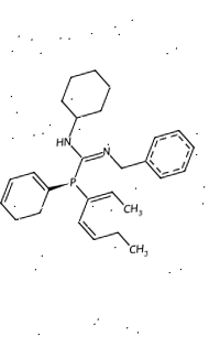 C/C=C(\C=C/CC)[P@@](C1=CC=CCC1)/C(=N\Cc1ccccc1)NC1CCCCC1